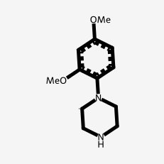 COc1ccc(N2[CH]CNCC2)c(OC)c1